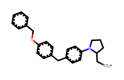 O=C(O)CC1CCCN1c1ccc(Cc2ccc(OCc3ccccc3)cc2)cc1